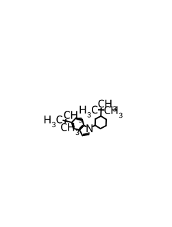 CC(C)(C)c1ccc2c(ccn2C2CCCC(C(C)(C)C)C2)c1